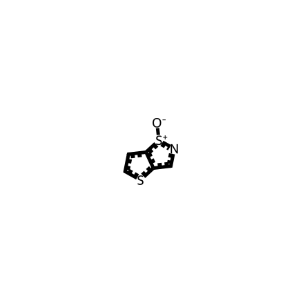 [O-][s+]1ncc2sccc21